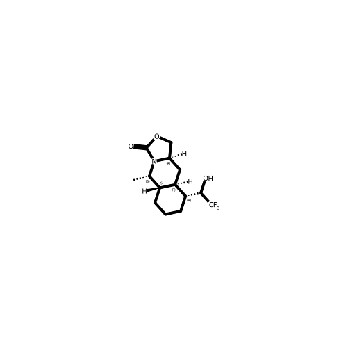 C[C@H]1[C@H]2CCC[C@@H](C(O)C(F)(F)F)[C@@H]2C[C@@H]2COC(=O)N21